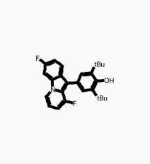 CC(C)(C)c1cc(-c2c3ccc(F)cc3n3cccc(F)c23)cc(C(C)(C)C)c1O